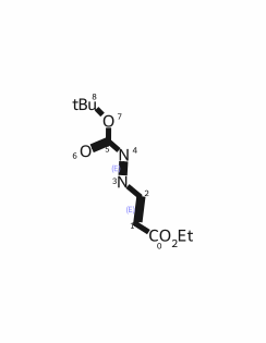 CCOC(=O)/C=C/N=N/C(=O)OC(C)(C)C